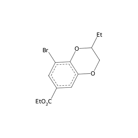 CCOC(=O)c1cc(Br)c2c(c1)OCC(CC)O2